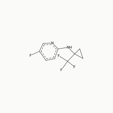 Fc1ccc(NC2(C(F)(F)F)CC2)nc1